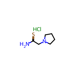 Cl.NC(=S)CN1CCCC1